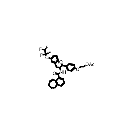 CC(=O)OCCOc1ccc(C(O)C(Cc2cccc(OC(F)(F)C(F)F)c2)NC(=O)c2cccc3c2C=CCCC3)cc1